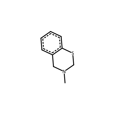 CN1CSc2ccccc2C1